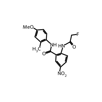 COc1ccc(NC(=O)c2cc([N+](=O)[O-])ccc2NC(=O)CF)c(C)c1